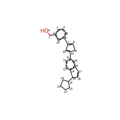 OCc1cccc(C2=CCC(c3ccc4c(c3)C=CC4C3CCCC3)=C2)c1